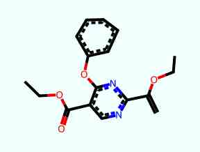 C=C(OCC)c1ncc(C(=O)OCC)c(Oc2ccccc2)n1